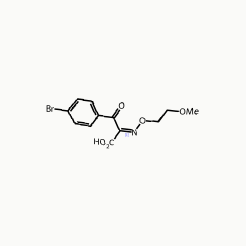 COCCO/N=C(/C(=O)O)C(=O)c1ccc(Br)cc1